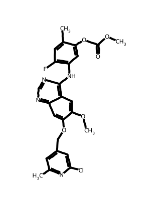 COC(=O)Oc1cc(Nc2ncnc3cc(OCc4cc(C)nc(Cl)c4)c(OC)cc23)c(F)cc1C